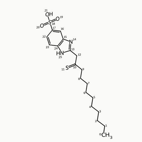 CCCCCCCCCCC(=S)Cc1nc2cc(S(=O)(=O)O)ccc2[nH]1